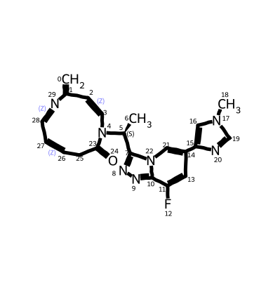 C=C1/C=C\N([C@@H](C)c2nnc3c(F)cc(-c4cn(C)cn4)cn23)C(=O)C/C=C\C=N/1